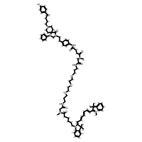 CN(CC(=O)NCCCOCCOCCOCCCNC(=O)CN(C)C(=O)CCC(=O)Nc1ccc(CCN2CN(c3ccccc3)C3(CCN(CCCC(=O)c4ccc(F)cc4)CC3)C2=O)cc1)C(=O)CCCCCN1/C(=C/C=C/C=C/C=C/C2=[N+](C)c3ccccc3C2(C)C)C(C)(C)c2ccccc21